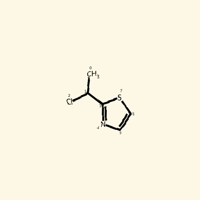 CC(Cl)c1nccs1